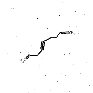 C=CCC#CCCC=C